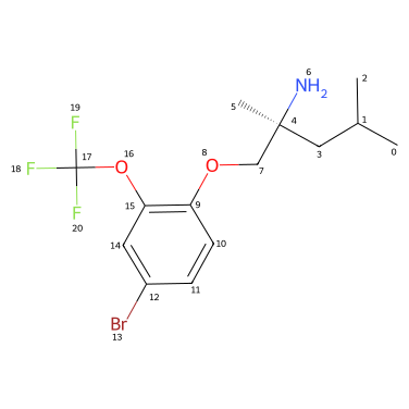 CC(C)C[C@](C)(N)COc1ccc(Br)cc1OC(F)(F)F